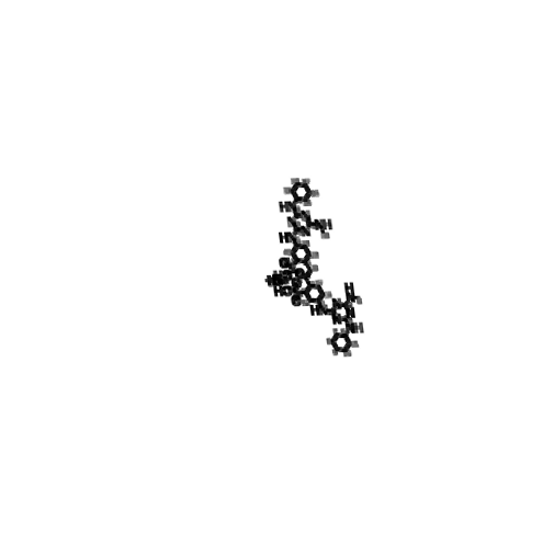 CNc1nc(Nc2ccccc2)nc(Nc2ccc(C=Cc3ccc(Nc4nc(NC)nc(Nc5ccccc5)n4)cc3S(=O)(=O)O)c(S(=O)(=O)O)c2)n1.[Na].[Na]